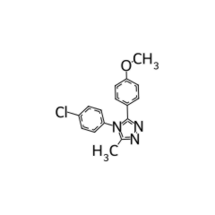 COc1ccc(-c2nnc(C)n2-c2ccc(Cl)cc2)cc1